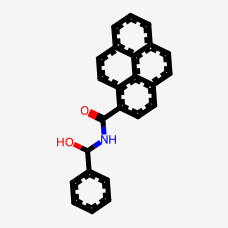 O=C(NC(O)c1ccccc1)c1ccc2ccc3cccc4ccc1c2c34